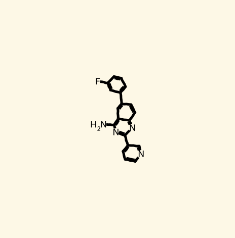 Nc1nc(-c2cccnc2)nc2ccc(-c3cccc(F)c3)cc12